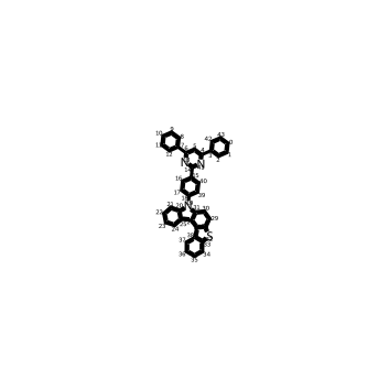 c1ccc(-c2cc(-c3ccccc3)nc(-c3ccc(-n4c5ccccc5c5c6c(ccc54)sc4ccccc46)cc3)n2)cc1